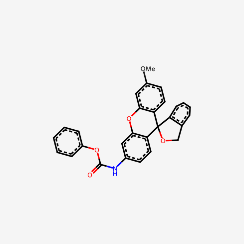 COc1ccc2c(c1)Oc1cc(NC(=O)Oc3ccccc3)ccc1C21OCc2ccccc21